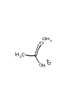 CC(=O)O.O.[Er]